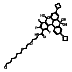 O=C(NCCOCCOCCCCCCCl)c1c(F)c(F)c(C(=O)O)c(C2c3ccc(N4CCC4)cc3S(O)(O)c3cc(N4CCC4)ccc32)c1F